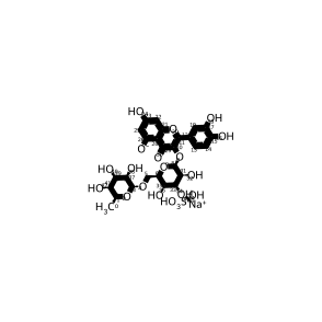 C[C@@H]1O[C@@H](OC[C@H]2O[C@@H](Oc3c(-c4ccc(O)c(O)c4)oc4cc(O)cc([O-])c4c3=O)[C@H](O)[C@@H](O)[C@@H]2O)[C@H](O)[C@H](O)[C@H]1O.O=S(=O)(O)O.[Na+]